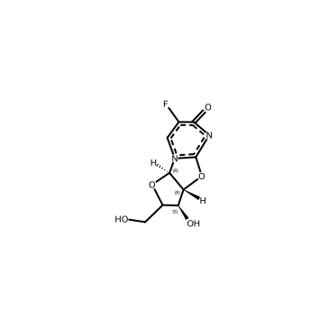 O=c1nc2n(cc1F)[C@@H]1OC(CO)[C@H](O)[C@H]1O2